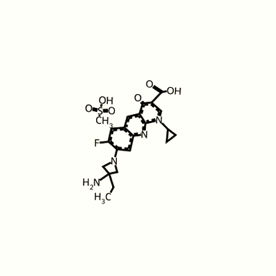 CCC1(N)CN(c2cc3nc4c(cc3cc2F)c(=O)c(C(=O)O)cn4C2CC2)C1.CS(=O)(=O)O